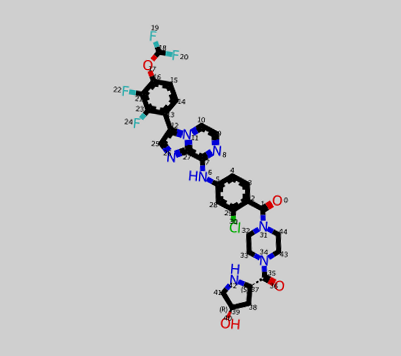 O=C(c1ccc(Nc2nccn3c(-c4ccc(OC(F)F)c(F)c4F)cnc23)cc1Cl)N1CCN(C(=O)[C@@H]2C[C@@H](O)CN2)CC1